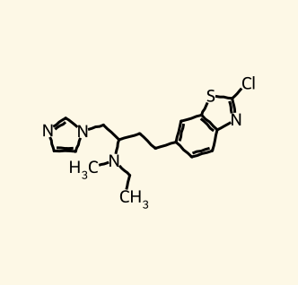 CCN(C)C(CCc1ccc2nc(Cl)sc2c1)Cn1ccnc1